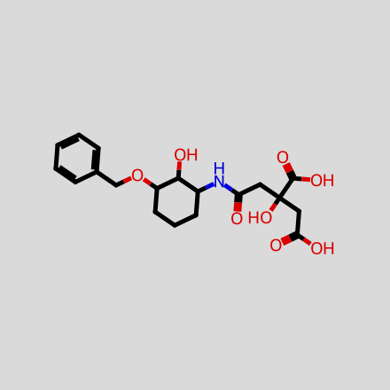 O=C(O)CC(O)(CC(=O)NC1CCCC(OCc2ccccc2)C1O)C(=O)O